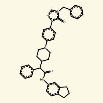 O=C(Nc1ccc2c(c1)CCC2)C(c1ccccc1)C1CCN(c2ccc(-n3ncn(Cc4ccccc4)c3=O)cc2)CC1